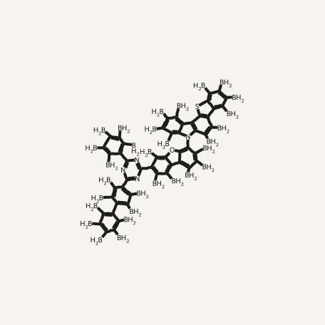 Bc1c(B)c(B)c(-c2nc(-c3c(B)c(B)c(-c4c(B)c(B)c(B)c(B)c4B)c(B)c3B)nc(-c3c(B)c(B)c4c(oc5c(-n6c7c(B)c(B)c(B)c(B)c7c7c8sc9c(B)c(B)c(B)c(B)c9c8c(B)c(B)c76)c(B)c(B)c(B)c54)c3B)n2)c(B)c1B